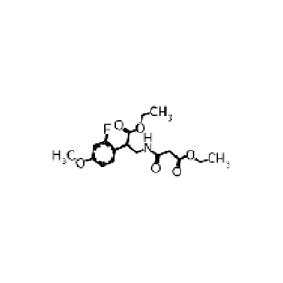 CCOC(=O)CC(=O)NCC(C(=O)OCC)c1ccc(OC)cc1F